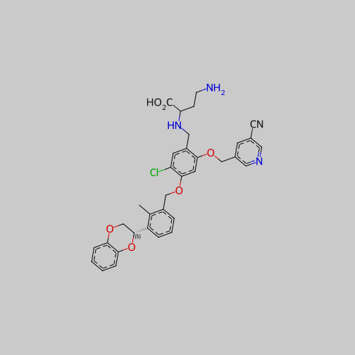 Cc1c(COc2cc(OCc3cncc(C#N)c3)c(CNC(CCN)C(=O)O)cc2Cl)cccc1[C@H]1COc2ccccc2O1